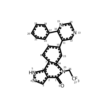 O=c1c2cn[nH]c2c2ccc(-c3cncnc3-c3ccccc3)cc2n1CC(F)(F)F